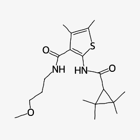 COCCCNC(=O)c1c(NC(=O)C2C(C)(C)C2(C)C)sc(C)c1C